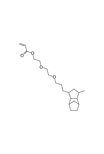 C=CC(=O)OCCOCCOCCCC1CC(C)C2C3CCC(C3)C12